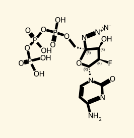 [N-]=[N+]=N[C@]1(COP(=O)(O)OP(=O)(O)OP(=O)(O)O)O[C@@H](n2ccc(N)nc2=O)[C@H](F)[C@@H]1O